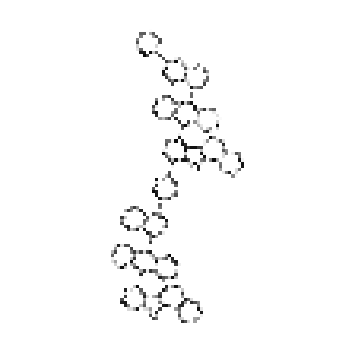 c1ccc(-c2ccc3c(-c4c5ccccc5c(-c5ccc(-c6ccc(-c7ccc(-c8c9ccccc9c(-c9cccc%10oc%11c%12ccccc%12ccc%11c9%10)c9ccccc89)c8ccccc78)cc6)c6oc7c8ccccc8ccc7c56)c5ccccc45)cccc3c2)cc1